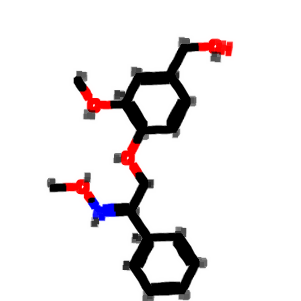 CON=C(COc1ccc(CO)cc1OC)c1ccccc1